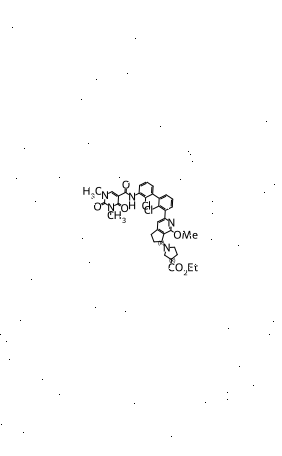 CCOC(=O)[C@@H]1CCN([C@@H]2CCc3cc(-c4cccc(-c5cccc(NC(=O)c6cn(C)c(=O)n(C)c6=O)c5Cl)c4Cl)nc(OC)c32)C1